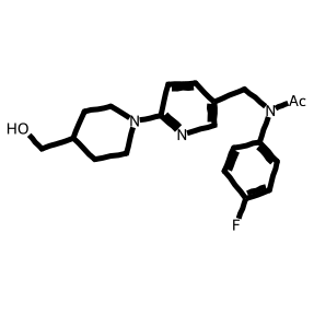 CC(=O)N(Cc1ccc(N2CCC(CO)CC2)nc1)c1ccc(F)cc1